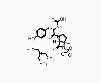 CCN(CC)CC.O=C(O)N[C@@H](Cc1ccc(O)cc1)C(=O)N1CC[C@@H]2[C@H]1C(=O)N2S(=O)(=O)O